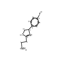 NCCC1=NC(c2ccc(F)cc2)CS1